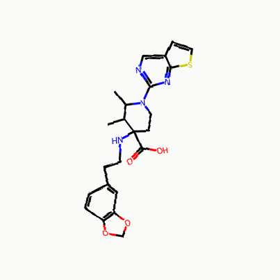 CC1C(C)C(NCCc2ccc3c(c2)OCO3)(C(=O)O)CCN1c1ncc2ccsc2n1